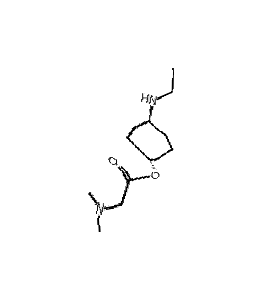 CCN[C@H]1CC[C@H](OC(=O)CN(C)C)CC1